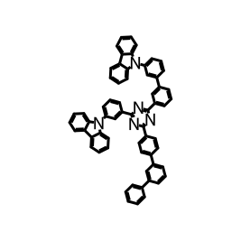 c1ccc(-c2cccc(-c3ccc(-c4nc(-c5cccc(-c6cccc(-n7c8ccccc8c8ccccc87)c6)c5)nc(-c5cccc(-n6c7ccccc7c7ccccc76)c5)n4)cc3)c2)cc1